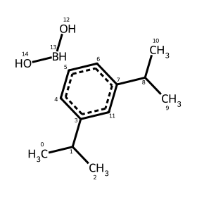 CC(C)c1cccc(C(C)C)c1.OBO